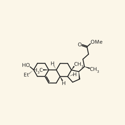 CC[C@]1(O)CC[C@@]2(C)C(=CC[C@H]3[C@@H]4CC[C@H]([C@H](C)CCC(=O)OC)[C@@]4(C)CC[C@@H]32)C1